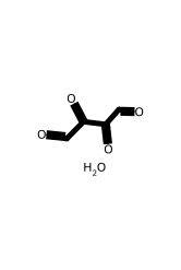 O.O=CC(=O)C(=O)C=O